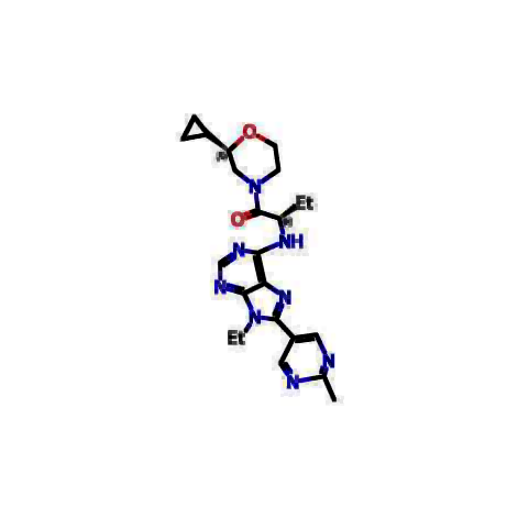 CC[C@@H](Nc1ncnc2c1nc(-c1cnc(C)nc1)n2CC)C(=O)N1CCO[C@H](C2CC2)C1